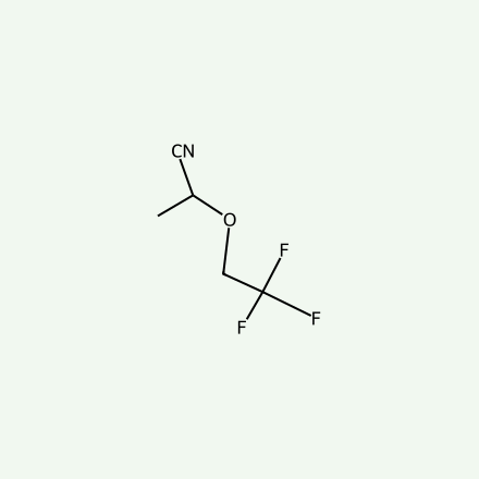 CC(C#N)OCC(F)(F)F